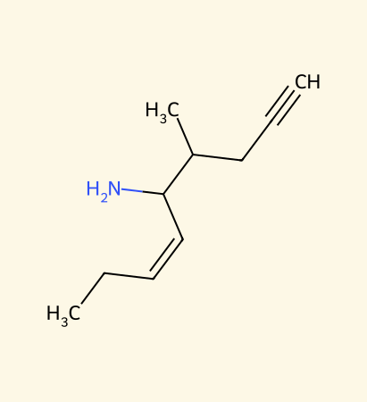 C#CCC(C)C(N)/C=C\CC